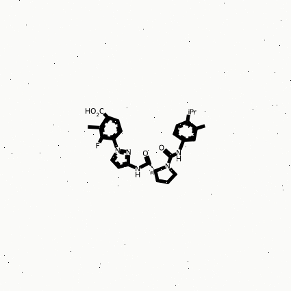 Cc1cc(NC(=O)N2CCC[C@@H]2C(=O)Nc2ccn(-c3ccc(C(=O)O)c(C)c3F)n2)ccc1C(C)C